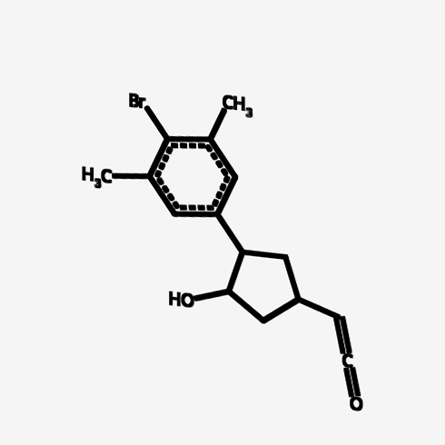 Cc1cc(C2CC(C=C=O)CC2O)cc(C)c1Br